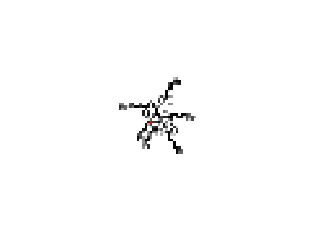 O=C(CCCBr)OC[C@@H](OC(=O)CCCBr)[C@@H](OC(=O)CCCBr)[C@H](OC(=O)CCCBr)[C@@H](COC(=O)CCCBr)OC(=O)CCCBr